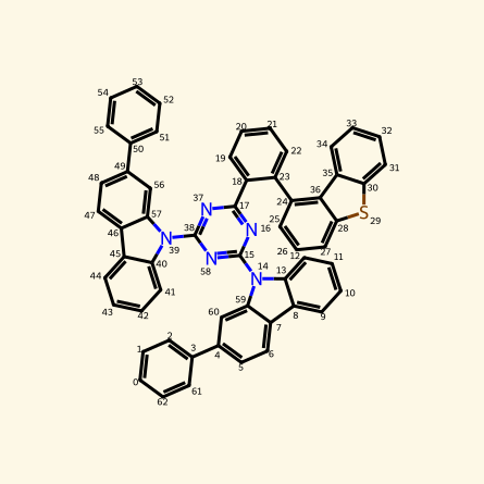 c1ccc(-c2ccc3c4ccccc4n(-c4nc(-c5ccccc5-c5cccc6sc7ccccc7c56)nc(-n5c6ccccc6c6ccc(-c7ccccc7)cc65)n4)c3c2)cc1